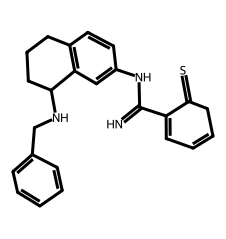 N=C(Nc1ccc2c(c1)C(NCc1ccccc1)CCC2)C1=CC=CCC1=S